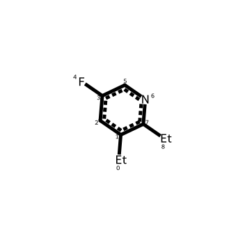 CCc1cc(F)cnc1CC